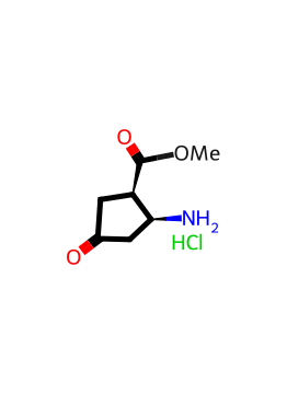 COC(=O)[C@@H]1CC(=O)C[C@@H]1N.Cl